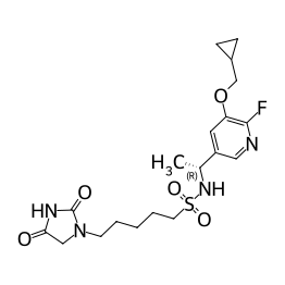 C[C@@H](NS(=O)(=O)CCCCCN1CC(=O)NC1=O)c1cnc(F)c(OCC2CC2)c1